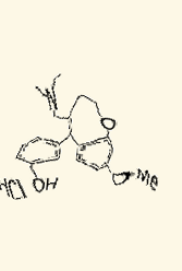 COc1ccc2c(c1)OCCC(CN(C)C)=C2c1cccc(O)c1.Cl